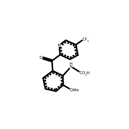 COc1cccc(C(=O)c2ccc(C(F)(F)F)cn2)c1NC(=O)O